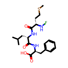 CSCC[C@H](NF)C(=O)N[C@@H](CC(C)C)C(=O)N[C@@H](Cc1ccccc1)C(=O)O